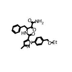 CCOCc1ccc(-n2nc(C)cc2C(=O)NC(Cc2ccccc2)C(=O)C(N)=O)cc1